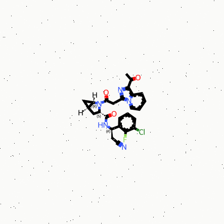 CC(=O)c1nc(CC(=O)N2[C@@H]3C[C@@H]3C[C@H]2C(=O)N[C@H](CC#N)c2cccc(Cl)c2F)n2ccccc12